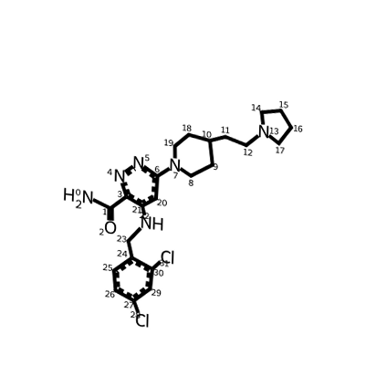 NC(=O)c1nnc(N2CCC(CCN3CCCC3)CC2)cc1NCc1ccc(Cl)cc1Cl